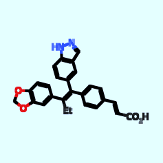 CCC(=C(c1ccc(C=CC(=O)O)cc1)c1ccc2[nH]ncc2c1)c1ccc2c(c1)OCO2